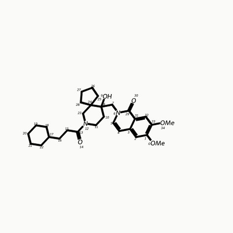 COc1cc2ccn(CC3(O)CCN(C(=O)CCC4CCCCC4)CC34CCCC4)c(=O)c2cc1OC